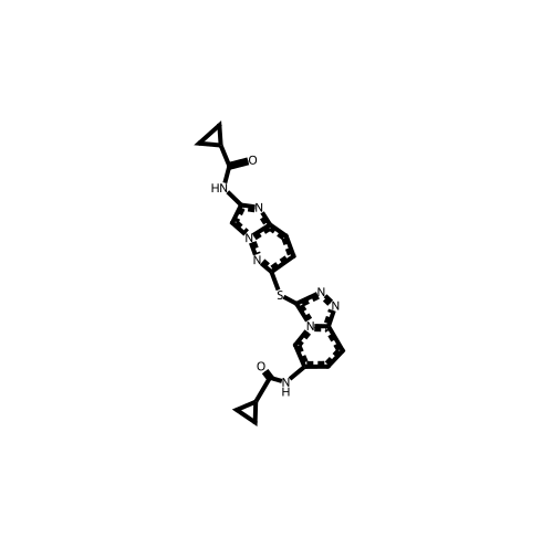 O=C(Nc1ccc2nnc(Sc3ccc4nc(NC(=O)C5CC5)cn4n3)n2c1)C1CC1